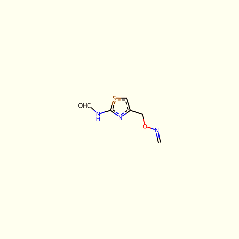 C=NOCc1csc(NC=O)n1